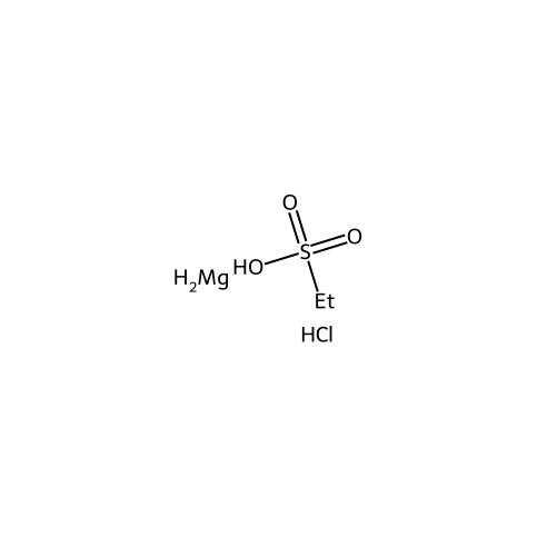 CCS(=O)(=O)O.Cl.[MgH2]